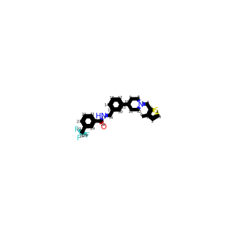 Cc1ccsc1CN1CCC(c2cccc(CNC(=O)c3cccc(C(F)(F)F)c3)c2)CC1